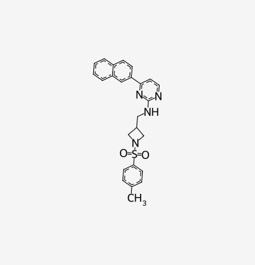 Cc1ccc(S(=O)(=O)N2CC(CNc3nccc(-c4ccc5ccccc5c4)n3)C2)cc1